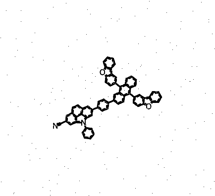 N#Cc1cc2ccc3cc(-c4ccc(-c5ccc6c(-c7ccc8oc9ccccc9c8c7)c7ccccc7c(-c7ccc8oc9ccccc9c8c7)c6c5)cc4)cc4c3c2c(c1)n4-c1ccccc1